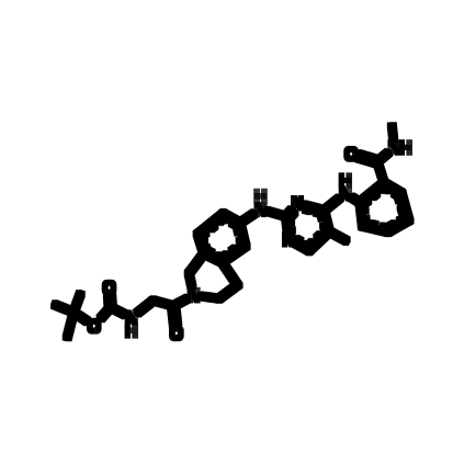 CNC(=O)c1ccccc1Nc1nc(Nc2ccc3c(c2)CCN(C(=O)CNC(=O)OC(C)(C)C)C3)ncc1C